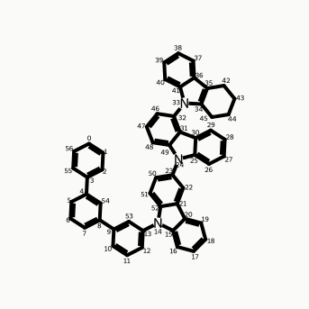 c1ccc(-c2cccc(-c3cccc(-n4c5ccccc5c5cc(-n6c7ccccc7c7c(-n8c9c(c%10ccccc%108)CCCC9)cccc76)ccc54)c3)c2)cc1